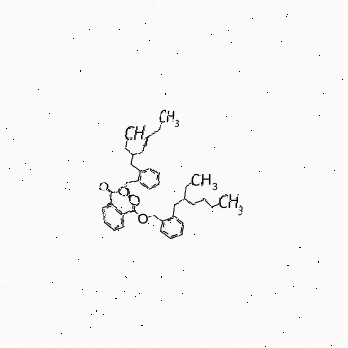 CCCCC(CC)Cc1ccccc1COC(=O)c1ccccc1C(=O)OCc1ccccc1CC(CC)CCCC